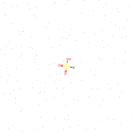 O=[S](=O)(O)[V]